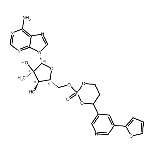 C[C@@]1(O)[C@H](O)[C@@H](COP2(=O)OCCC(c3cncc(-c4cccs4)c3)O2)O[C@H]1n1cnc2c(N)ncnc21